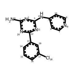 Nc1nc(Nc2ccncc2)nc(-c2cccc(Cl)c2)n1